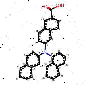 O=C(O)c1ccc2cc(N(c3ccc4ccccc4c3)c3cccc4ccccc34)ccc2c1